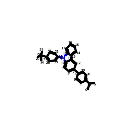 CC(C)c1ccc(-c2ccc3c(c2)c2ccccc2n3-c2ccc(C(C)(C)C)cc2)cc1